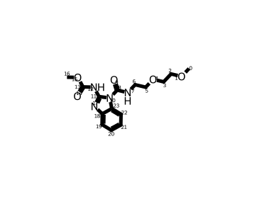 COCCOCCNC(=O)n1c(NC(=O)OC)nc2ccccc21